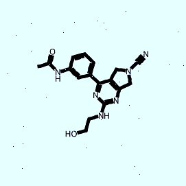 CC(=O)Nc1cccc(-c2nc(NCCO)nc3c2CN(C#N)C3)c1